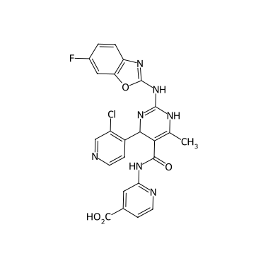 CC1=C(C(=O)Nc2cc(C(=O)O)ccn2)C(c2ccncc2Cl)N=C(Nc2nc3ccc(F)cc3o2)N1